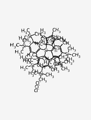 CC1=C(C)C(C)([Si](c2c(C)c([Si](C)(C)C)c([Si](C)(C)C)c(C)c2[Si](C)(C)C)(c2c(C)c([Si](C)(C)C)c([Si](C)(C)C)c(C)c2[Si](C)(C)C)c2c(C)c([Si](C)(C)C)c([Si](C)(C)C)c(C)c2[Si](C)(C)C)[C]([Ti+3])=C1C.[Cl-].[Cl-].[Cl-]